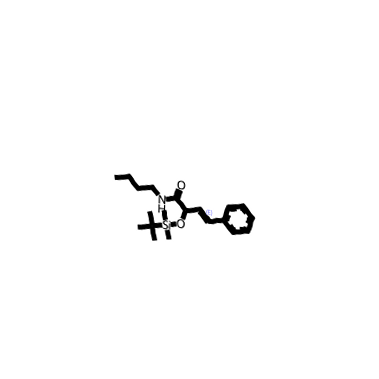 CCCCNC(=O)C(/C=C/c1ccccc1)O[Si](C)(C)C(C)(C)C